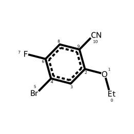 CCOc1cc(Br)c(F)cc1C#N